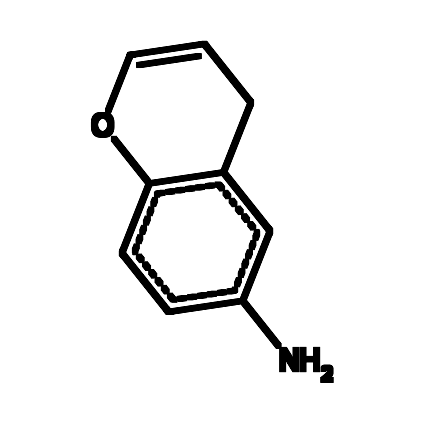 Nc1ccc2c(c1)CC=CO2